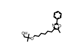 Cc1oc(-c2ccccc2)nc1CCCCCCOC(C)(C)CO